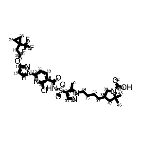 Cc1c(S(=O)(=O)NC(=O)c2ccc(-n3ccc(OCCC4(C(F)(F)F)CC4)n3)nc2Cl)cnn1CCCCC1CN(C(=O)O)C(C)(C)C1